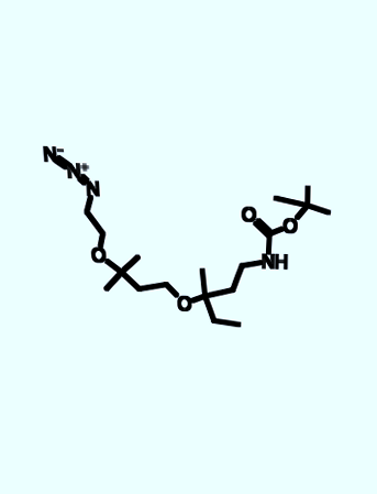 CCC(C)(CCNC(=O)OC(C)(C)C)OCCC(C)(C)OCCN=[N+]=[N-]